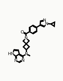 CN(c1ncnc2[nH]ccc12)C1CC2(C1)CN(C(=O)c1ccc(-c3cnn(C4CC4)c3)cc1)C2